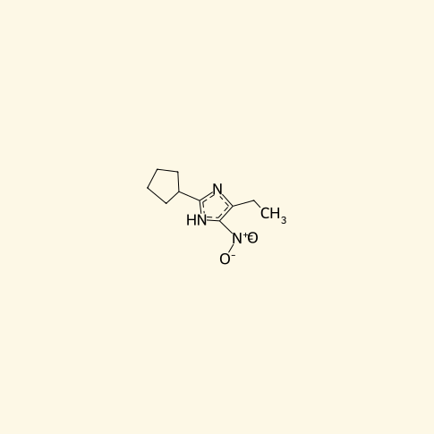 CCc1nc(C2CCCC2)[nH]c1[N+](=O)[O-]